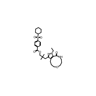 CCn1nc(CC(C)(C)COC(=O)c2ccc(S(=O)(=O)C3CCCCC3)cc2)c2c1C(=O)NCCCOCCC2